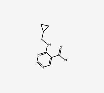 O=C(O)c1cn[c]nc1NCC1CC1